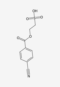 N#Cc1ccc(C(=O)OCCS(=O)(=O)O)cc1